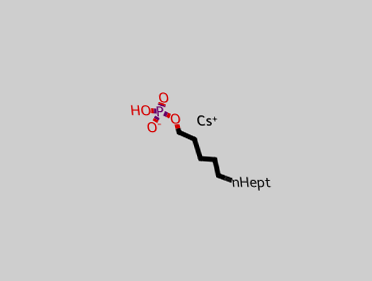 CCCCCCCCCCCCOP(=O)([O-])O.[Cs+]